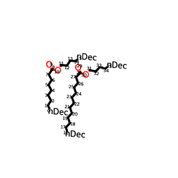 CCCCCCCCCCCCCCCCCC(=O)OCCCCCCCCCCCCCC.CCCCCCCCCCCCCCCCCCCCCC(=O)OCCCCCCCCCCCCCC